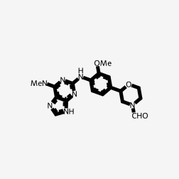 CNc1nc(Nc2ccc(C3CN(C=O)CCO3)cc2OC)nc2[nH]cnc12